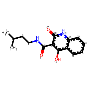 CC(C)CCNC(=O)c1c(O)c2ccccc2[nH]c1=O